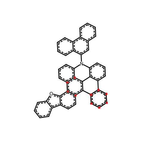 c1ccc(-c2ccccc2-c2c(-c3ccccc3)cccc2N(c2cccc(-c3cccc4c3oc3ccccc34)c2)c2cc3ccccc3c3ccccc23)cc1